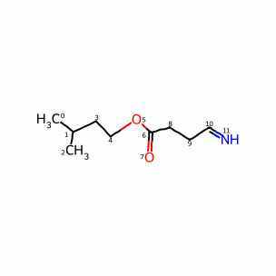 CC(C)CCOC(=O)CCC=N